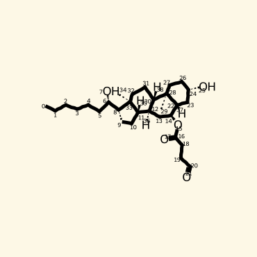 CCCCCC[C@H](O)[C@H]1CC[C@H]2[C@@H]3C[C@H](OC(=O)CCC=O)[C@H]4C[C@@H](O)CC[C@]4(C)[C@H]3CC[C@]12C